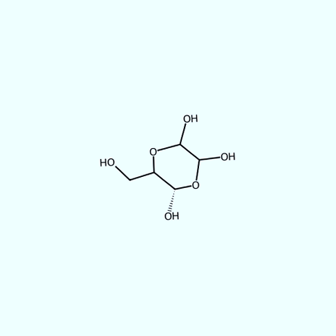 OCC1OC(O)C(O)O[C@@H]1O